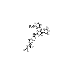 O=C(Cc1ccc([S+]([O-])CC2CC2)cc1)Nc1ccc(-c2cccc(F)c2)c(Oc2cccc(C(F)(F)F)c2)c1